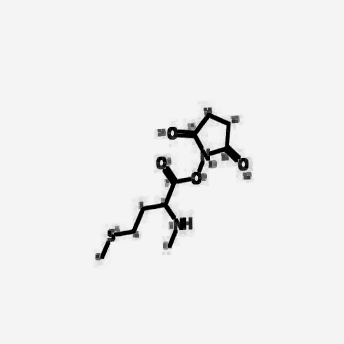 CNC(CCSC)C(=O)ON1C(=O)CCC1=O